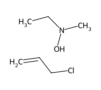 C=CCCl.CCN(C)O